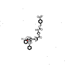 CC(C)(C)C1CN(c2nc(C(=O)N3CC(NC(=O)OCc4ccc([N+](=O)[O-])cc4)C3)cs2)C1O[SiH](c1ccccc1)c1ccccc1